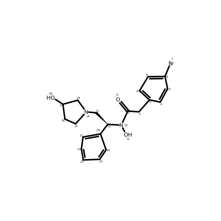 O=C(Cc1ccc(Br)cc1)N(O)[C@H](CN1CCC(O)C1)c1ccccc1